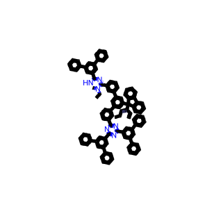 C=C/C(=C\CC)C1(c2cc(-c3cccc(/C(=N/C(=N)c4cc(-c5ccccc5)cc(-c5ccccc5)c4)N(C)CC)c3)cc(-c3cccc(-c4nc(-c5cc(-c6ccccc6)cc(-c6ccccc6)c5)nc(-c5cc(-c6ccccc6)cc(-c6ccccc6)c5)n4)c3)c2)c2ccccc2-c2ccccc21